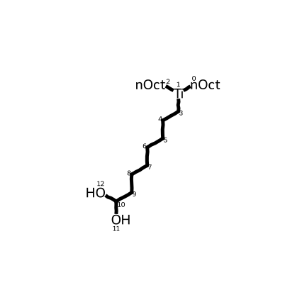 CCCCCCC[CH2][Ti]([CH2]CCCCCCC)[CH2]CCCCCCC(O)O